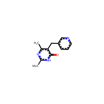 CSc1nc(C)c(Cc2cccnc2)c(=O)[nH]1